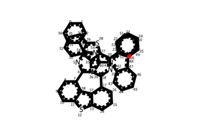 c1ccc(-c2nc(-c3cccc4sc5cccc(-c6nc(-c7ccccc7)c7sc8ccccc8c7n6)c5c34)nc(-n3c4ccccc4c4ccccc43)n2)cc1